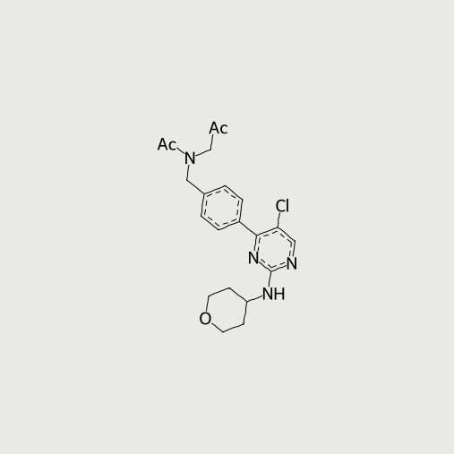 CC(=O)CN(Cc1ccc(-c2nc(NC3CCOCC3)ncc2Cl)cc1)C(C)=O